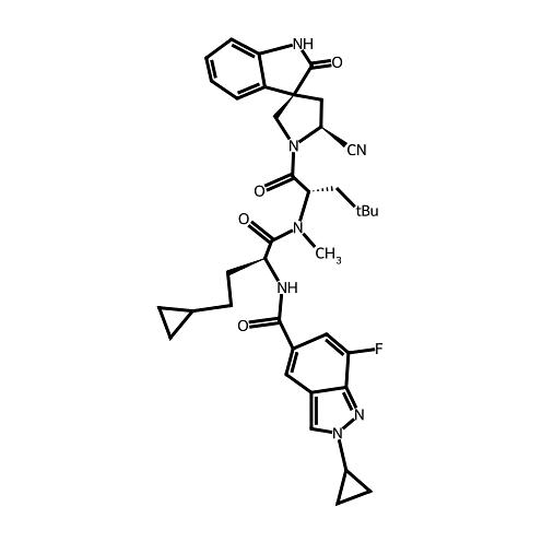 CN(C(=O)[C@H](CCC1CC1)NC(=O)c1cc(F)c2nn(C3CC3)cc2c1)[C@@H](CC(C)(C)C)C(=O)N1C[C@]2(C[C@H]1C#N)C(=O)Nc1ccccc12